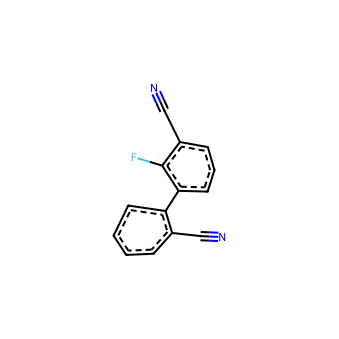 N#Cc1ccccc1-c1cccc(C#N)c1F